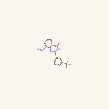 O=Nc1cccc2c(=O)[nH]c(-c3cccc(C(F)(F)F)c3)nc12